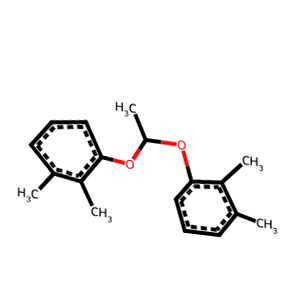 Cc1cccc(OC(C)Oc2cccc(C)c2C)c1C